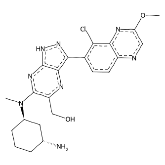 COc1cnc2ccc(-c3n[nH]c4nc(N(C)[C@@H]5CCC[C@@H](N)C5)c(CO)nc34)c(Cl)c2n1